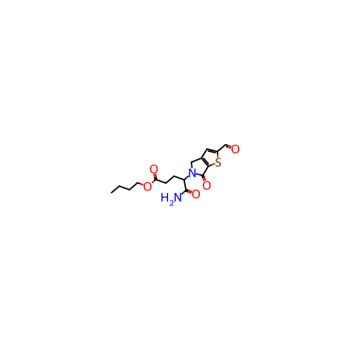 CCCCOC(=O)CCC(C(N)=O)N1Cc2cc(C=O)sc2C1=O